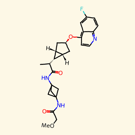 COCC(=O)NC12CC(NC(=O)C(C)[C@@H]3[C@@H]4C[C@@H](Oc5ccnc6ccc(F)cc56)C[C@@H]43)(C1)C2